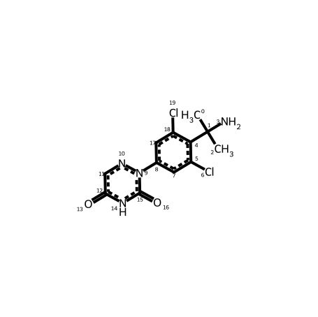 CC(C)(N)c1c(Cl)cc(-n2ncc(=O)[nH]c2=O)cc1Cl